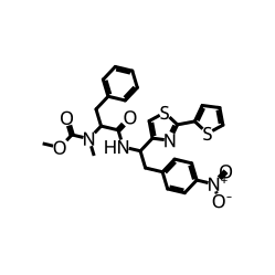 COC(=O)N(C)C(Cc1ccccc1)C(=O)NC(Cc1ccc([N+](=O)[O-])cc1)c1csc(-c2cccs2)n1